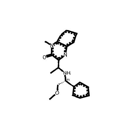 COC[C@H](NC(C)c1nc2ccccc2n(C)c1=O)c1ccccc1